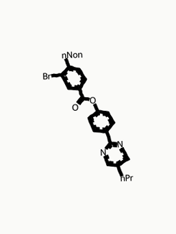 CCCCCCCCCc1ccc(C(=O)Oc2ccc(-c3ncc(CCC)cn3)cc2)cc1Br